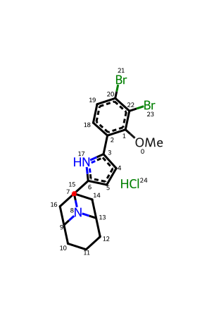 COc1c(-c2ccc(CN3C4CCCC3CCC4)[nH]2)ccc(Br)c1Br.Cl